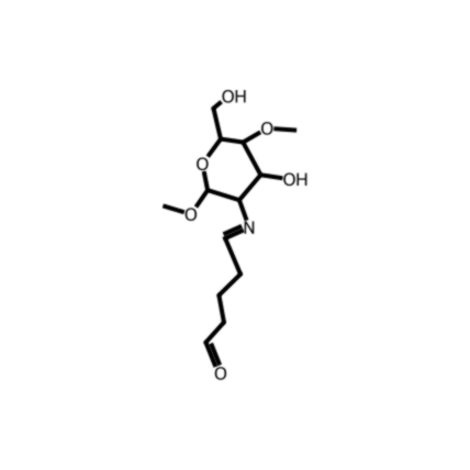 COC1OC(CO)C(OC)C(O)C1/N=C/CCCC=O